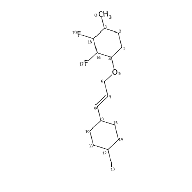 CC1CCC(OCC=CC2CCC(I)CC2)C(F)C1F